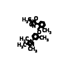 Cc1cc(-n2nc(C)c(C)c2C)ccc1OCc1c(C)cccc1-c1non(C)c1=O